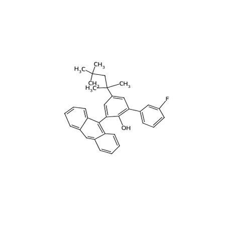 CC(C)(C)CC(C)(C)c1cc(-c2cccc(F)c2)c(O)c(-c2c3ccccc3cc3ccccc23)c1